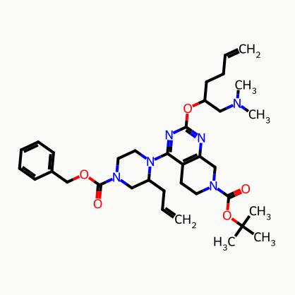 C=CCCC(CN(C)C)Oc1nc2c(c(N3CCN(C(=O)OCc4ccccc4)CC3CC=C)n1)CCN(C(=O)OC(C)(C)C)C2